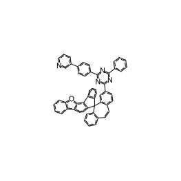 C1=Cc2ccc(-c3nc(-c4ccccc4)nc(-c4ccc(-c5cccnc5)cc4)n3)cc2C2(c3ccccc31)c1ccccc1-c1c2ccc2c1oc1ccccc12